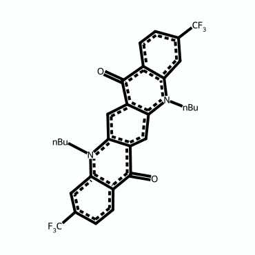 CCCCn1c2cc(C(F)(F)F)ccc2c(=O)c2cc3c(cc21)c(=O)c1ccc(C(F)(F)F)cc1n3CCCC